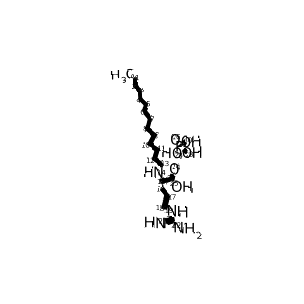 CCCCCCCCCCCCCCN[C@@H](CCCNC(=N)N)C(=O)O.O=P(O)(O)O